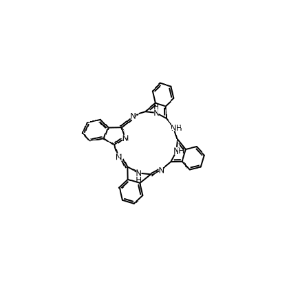 c1ccc2c(c1)C1=NC2=Nc2[nH]c(c3ccccc23)Nc2[nH]c(c3ccccc23)/N=c2\[nH]c(c3ccccc23)=N1